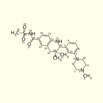 CN1CCN(c2cccc(C3Nc4ccc(C(=O)NS(C)(=O)=O)cc4CC3(C)C)c2)CC1